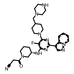 N#CCC(=O)N1CCC[C@@H](Nc2nc(-c3cnn4ccccc34)nc(N3CCC(CN4CCNCC4)CC3)c2F)C1